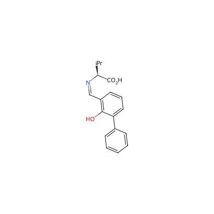 CC(C)[C@H](/N=C\c1cccc(-c2ccccc2)c1O)C(=O)O